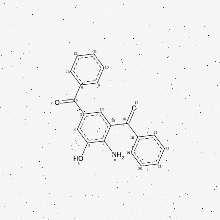 Nc1c(O)cc(C(=O)c2ccccc2)cc1C(=O)c1ccccc1